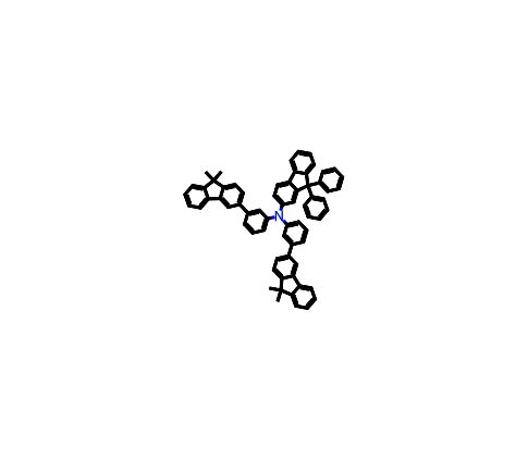 CC1(C)c2ccccc2-c2cc(-c3cccc(N(c4cccc(-c5ccc6c(c5)-c5ccccc5C6(C)C)c4)c4ccc5c(c4)C(c4ccccc4)(c4ccccc4)c4ccccc4-5)c3)ccc21